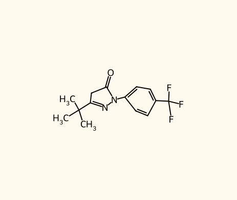 CC(C)(C)C1=NN(c2ccc(C(F)(F)F)cc2)C(=O)C1